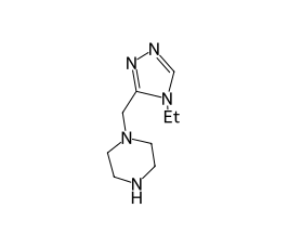 CCn1cnnc1CN1CCNCC1